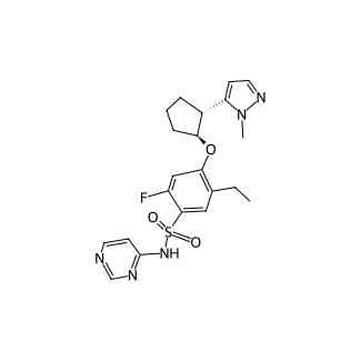 CCc1cc(S(=O)(=O)Nc2ccncn2)c(F)cc1O[C@H]1CCC[C@@H]1c1ccnn1C